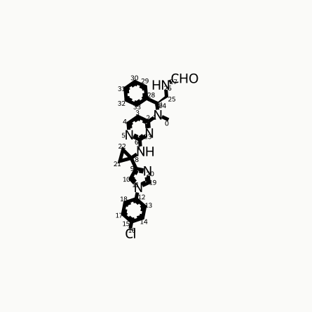 CN(c1ccnc(NC2(c3cn(-c4ccc(Cl)cc4)cn3)CC2)n1)[C@H](CNC=O)c1ccccc1